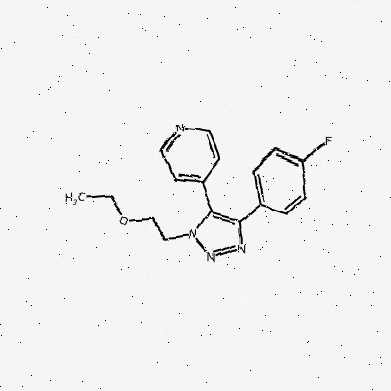 CCOCCn1nnc(-c2ccc(F)cc2)c1-c1ccncc1